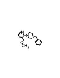 COCc1cccnc1N1CCN(Cc2ccccc2)CC1